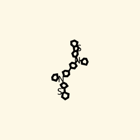 c1ccc(N(c2ccc(-c3ccc(N(c4ccccc4)c4ccc5c(c4)sc4ccccc45)cc3)cc2)c2ccc3c(c2)sc2ccccc23)cc1